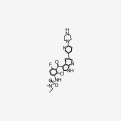 CCN(C)S(=O)(=O)Nc1ccc(F)c(C(=O)c2c[nH]c3ncc(-c4ccc(N5CCNCC5)nc4)cc23)c1Cl